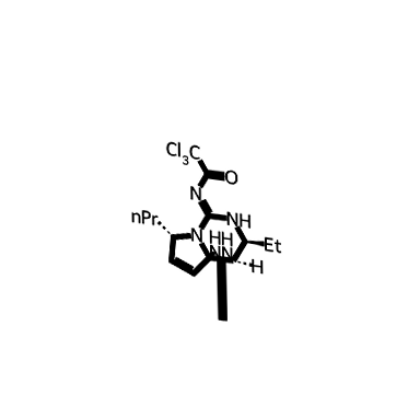 C=C1N[C@H]2[C@H](CC)N/C(=N\C(=O)C(Cl)(Cl)Cl)N3[C@@H](CCC)C=C[C@]23N1